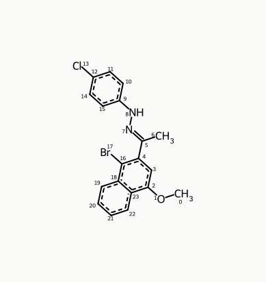 COc1cc(C(C)=NNc2ccc(Cl)cc2)c(Br)c2ccccc12